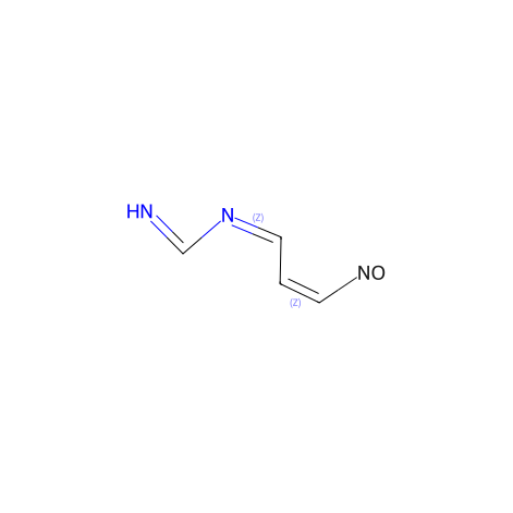 N=C/N=C\C=C/N=O